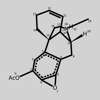 CC(=O)Oc1cc2c(c3c1O3)C[C@@H]1[C@@H]3C=CCC[C@]23CCN1C